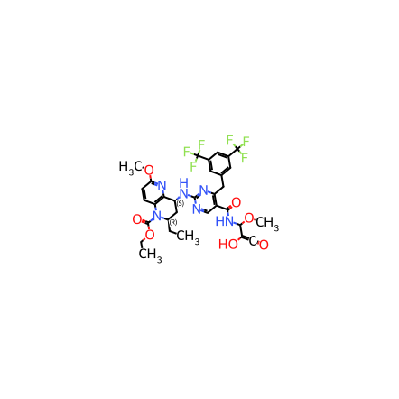 CCOC(=O)N1c2ccc(OC)nc2[C@@H](Nc2ncc(C(=O)NC(OC)C(O)=C=O)c(Cc3cc(C(F)(F)F)cc(C(F)(F)F)c3)n2)C[C@H]1CC